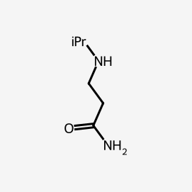 CC(C)NCCC(N)=O